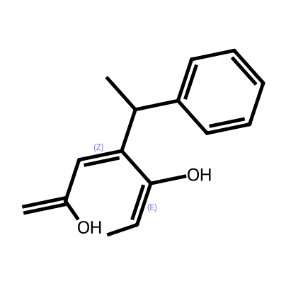 C=C(O)/C=C(\C(O)=C/C)C(C)c1ccccc1